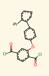 CC(C)c1ccccc1-c1ccc(Oc2cc(C(=O)Cl)ccc2C(=O)Cl)cc1